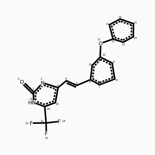 O=c1nc(C=Cc2cccc(Oc3ccccc3)c2)cc(C(F)(F)F)[nH]1